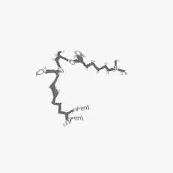 CCCCCC(CCCCC)CCCCCC(=O)OCC(C)OC(=O)CCCCCN(C)C